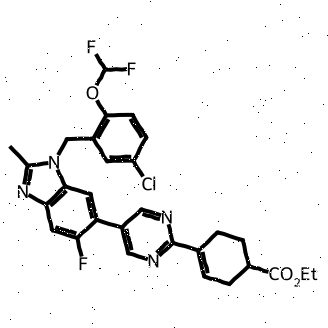 CCOC(=O)C1CC=C(c2ncc(-c3cc4c(cc3F)nc(C)n4Cc3cc(Cl)ccc3OC(F)F)cn2)CC1